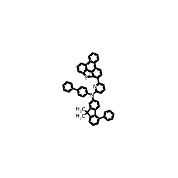 CC1(C)c2cc(N(c3ccc(-c4ccccc4)cc3)c3cccc(-c4ccc5c6ccccc6c6cccc7sc4c5c76)n3)ccc2-c2c(-c3ccccc3)cccc21